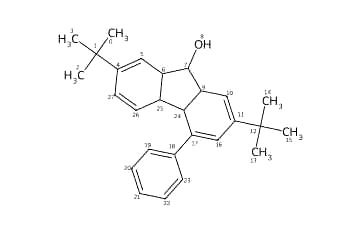 CC(C)(C)C1=CC2C(O)C3C=C(C(C)(C)C)C=C(c4ccccc4)C3C2C=C1